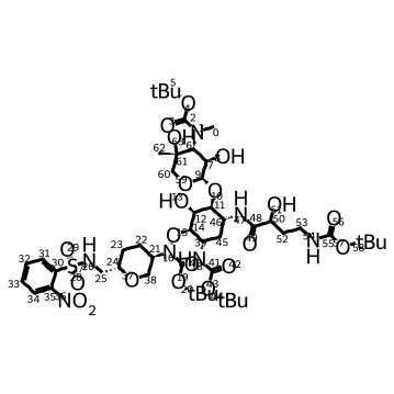 CN(C(=O)OC(C)(C)C)[C@@H]1[C@@H](O)[C@@H](O[C@@H]2[C@H](O)[C@H](ON(C(=O)OC(C)(C)C)[C@@H]3CC[C@@H](CNS(=O)(=O)c4ccccc4[N+](=O)[O-])OC3)[C@@H](NC(=O)OC(C)(C)C)C[C@H]2NC(=O)C(O)CCNC(=O)OC(C)(C)C)OC[C@]1(C)O